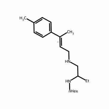 CCCCCCNC(CC)CNC/C=C(\C)c1ccc(C)cc1